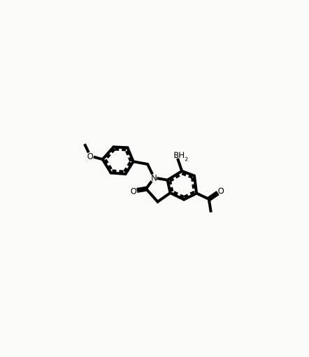 Bc1cc(C(C)=O)cc2c1N(Cc1ccc(OC)cc1)C(=O)C2